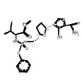 COC(=O)[C@@H](NP(=O)(OC[C@@H]1CC[C@H](n2cnc(C(N)=O)c2O)O1)Oc1ccccc1)C(C)C